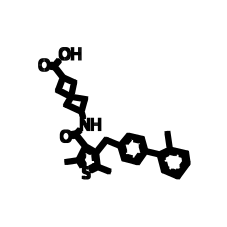 Cc1ccccc1-c1ccc(Cc2c(C)sc(C)c2C(=O)NC2CC3(C2)CC(C(=O)O)C3)cc1